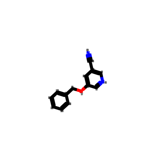 N#Cc1cn[c]c(OCc2ccccc2)c1